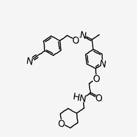 CC(=NOCc1ccc(C#N)cc1)c1ccc(OCC(=O)NCC2CCOCC2)nc1